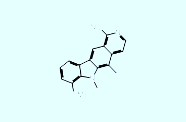 COc1cccc2c3cc4c(C#N)nccc4c(C)c3n(C)c12